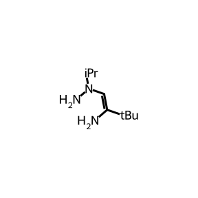 CC(C)N(N)/C=C(\N)C(C)(C)C